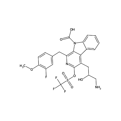 COc1ccc(Cc2nc(OS(=O)(=O)C(F)(F)F)c(CC(O)CN)c3c4ccccc4n(C(=O)O)c23)cc1F